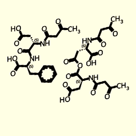 CC(=O)CC(=O)N[C@@H](CC(=O)O)C(=O)N[C@@H](Cc1ccccc1)C(=O)O.CC(=O)CC(=O)N[C@@H](CC(=O)OC(=O)[C@H](CC(=O)O)NC(=O)CC(C)=O)C(=O)O